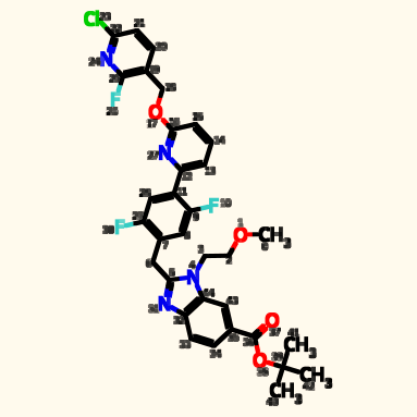 COCCn1c(Cc2cc(F)c(-c3cccc(OCc4ccc(Cl)nc4F)n3)cc2F)nc2ccc(C(=O)OC(C)(C)C)cc21